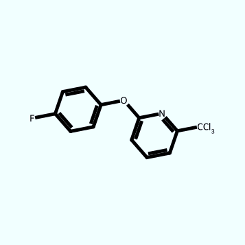 Fc1ccc(Oc2cccc(C(Cl)(Cl)Cl)n2)cc1